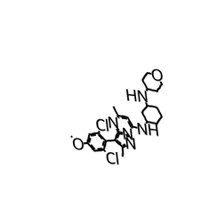 COc1cc(Cl)c(-c2c(C)nn3c(NC4CCCC(NC5CCOCC5)C4)cc(C)nc23)c(Cl)c1